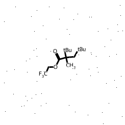 CC(C)(C)CC(C)(C(=O)OCC(F)(F)F)C(C)(C)C